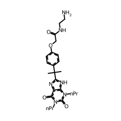 CCCn1c(=O)c2nc(C(C)(C)c3ccc(OCC(=O)NCCN)cc3)[nH]c2n(CCC)c1=O